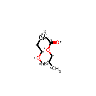 CCCCOCCOC(C)=O.CCCOC(C)=O